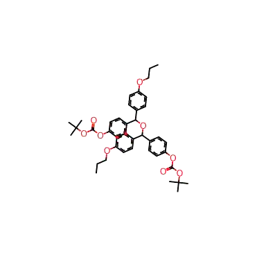 CCCOc1ccc(C(OC(c2ccc(OCCC)cc2)c2ccc(OC(=O)OC(C)(C)C)cc2)c2ccc(OC(=O)OC(C)(C)C)cc2)cc1